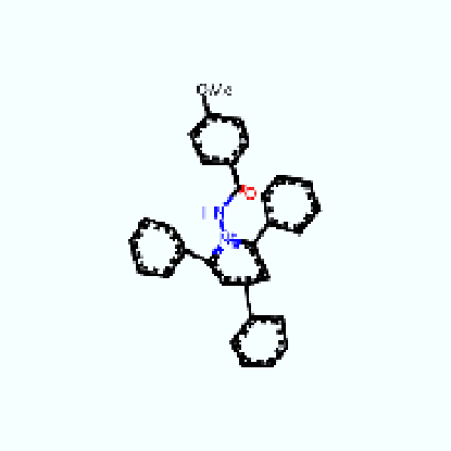 COc1ccc(C(=O)N[n+]2c(-c3ccccc3)cc(-c3ccccc3)cc2-c2ccccc2)cc1